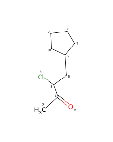 CC(=O)C(Cl)CC1CCCC1